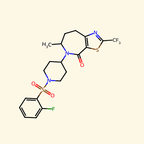 CC1CCc2nc(C(F)(F)F)sc2C(=O)N1C1CCN(S(=O)(=O)c2ccccc2F)CC1